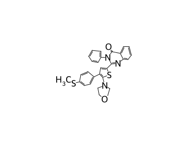 CSc1ccc(-c2cc(-c3nc4ccccc4c(=O)n3-c3ccccc3)sc2N2CCOCC2)cc1